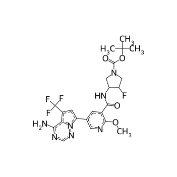 COc1ncc(-c2cc(C(F)(F)F)c3c(N)ncnn23)cc1C(=O)NC1CN(C(=O)OC(C)(C)C)CC1F